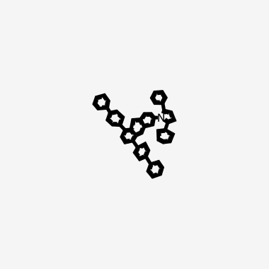 c1ccc(-c2ccc(-c3ccc(-c4ccc(-c5ccccc5)cc4)c4cc5cc(-n6c(-c7ccccc7)ccc6-c6ccccc6)ccc5cc34)cc2)cc1